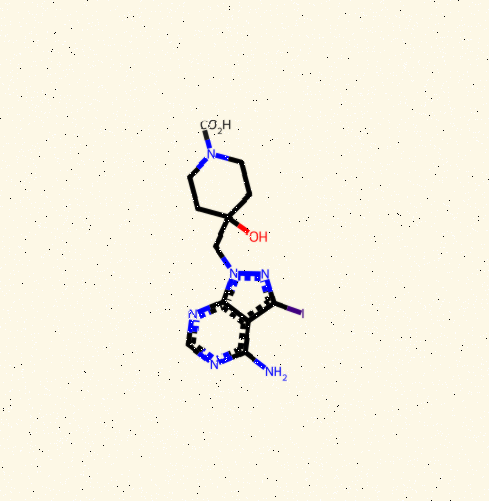 Nc1ncnc2c1c(I)nn2CC1(O)CCN(C(=O)O)CC1